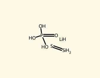 O=P(O)(O)O.[LiH].[SiH2]=S